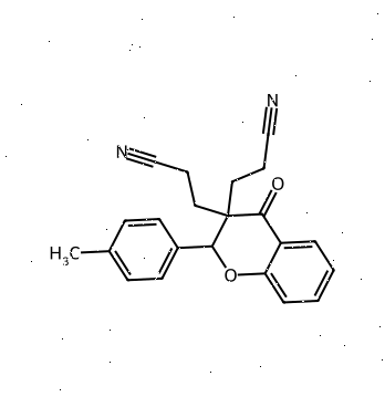 Cc1ccc(C2Oc3ccccc3C(=O)C2(CCC#N)CCC#N)cc1